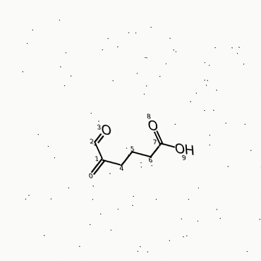 C=C([C]=O)CCCC(=O)O